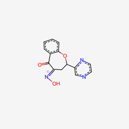 O=C1/C(=N/O)CC(c2cnccn2)Oc2ccccc21